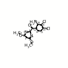 COc1cc(OC)nc(C(=O)c2ccc(Cl)c(Cl)c2N)n1